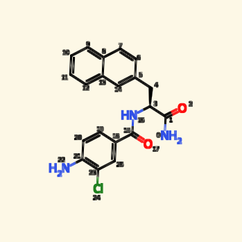 NC(=O)[C@H](Cc1ccc2ccccc2c1)NC(=O)c1ccc(N)c(Cl)c1